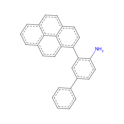 Nc1ccc(-c2ccccc2)cc1-c1ccc2ccc3cccc4ccc1c2c34